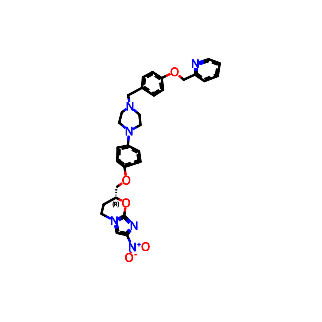 O=[N+]([O-])c1cn2c(n1)O[C@@H](COc1ccc(N3CCN(Cc4ccc(OCc5ccccn5)cc4)CC3)cc1)CC2